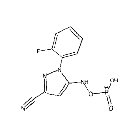 N#Cc1cc(NO[PH](=O)O)n(-c2ccccc2F)n1